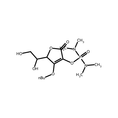 CCCCOC1=C(OP(=O)(N(C)C)N(C)C)C(=O)OC1C(O)CO